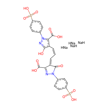 O=C(O)C1=NN(c2ccc(S(=O)(=O)O)cc2)C(=O)/C1=C\C=C/c1c(O)nn(-c2ccc(S(=O)(=O)O)cc2)c1C(=O)O.[NaH].[NaH].[NaH].[NaH]